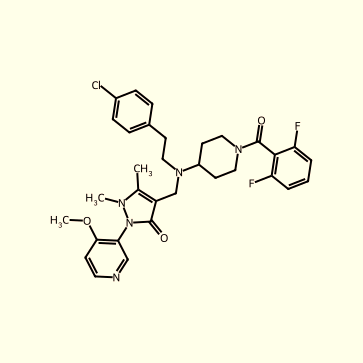 COc1ccncc1-n1c(=O)c(CN(CCc2ccc(Cl)cc2)C2CCN(C(=O)c3c(F)cccc3F)CC2)c(C)n1C